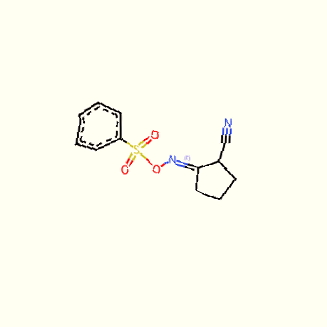 N#CC1CCC/C1=N\OS(=O)(=O)c1ccccc1